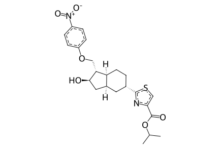 CC(C)OC(=O)c1csc([C@H]2CC[C@H]3[C@@H](C2)C[C@@H](O)[C@@H]3COc2ccc([N+](=O)[O-])cc2)n1